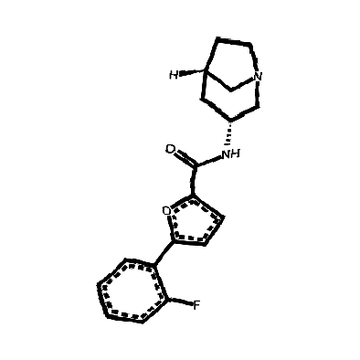 O=C(N[C@@H]1C[C@@H]2CCN(C2)C1)c1ccc(-c2ccccc2F)o1